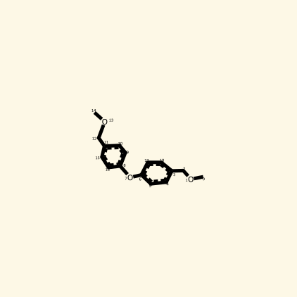 COCc1ccc(Oc2ccc(COC)cc2)cc1